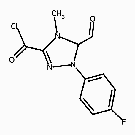 CN1C(C(=O)Cl)=NN(c2ccc(F)cc2)C1C=O